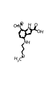 COCCCNc1ccc([N+](=O)[O-])c2[nH]c(C(=O)O)cc12